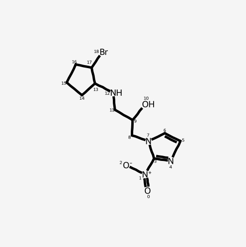 O=[N+]([O-])c1nccn1CC(O)CNC1CCCC1Br